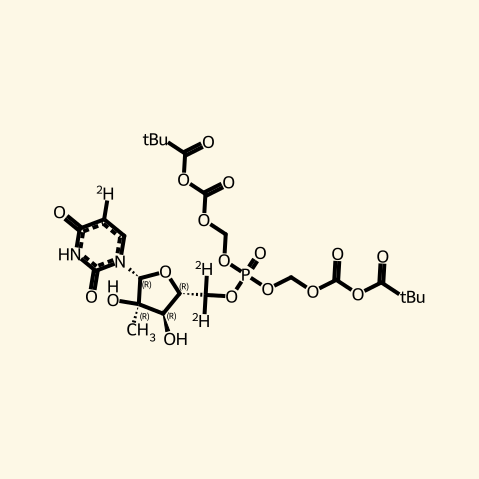 [2H]c1cn([C@@H]2O[C@H](C([2H])([2H])OP(=O)(OCOC(=O)OC(=O)C(C)(C)C)OCOC(=O)OC(=O)C(C)(C)C)[C@@H](O)[C@@]2(C)O)c(=O)[nH]c1=O